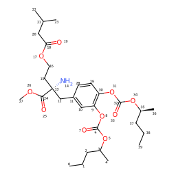 CCCC(C)OC(=O)Oc1cc(C[C@](N)(CCOC(=O)CC(C)C)C(=O)OC)ccc1OC(=O)O[C@@H](C)CCC